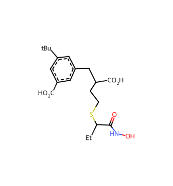 CCC(SCCC(Cc1cc(C(=O)O)cc(C(C)(C)C)c1)C(=O)O)C(=O)NO